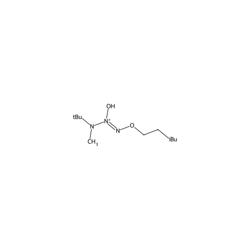 [CH2]CC(C)CCO/N=[N+](\O)N(C)C(C)(C)C